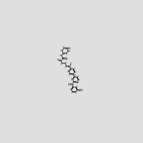 CCc1cccc(Nc2nccc(-c3ccc(N(C)CCCN(C)C(=O)CN4CCNCC4)nc3)n2)c1